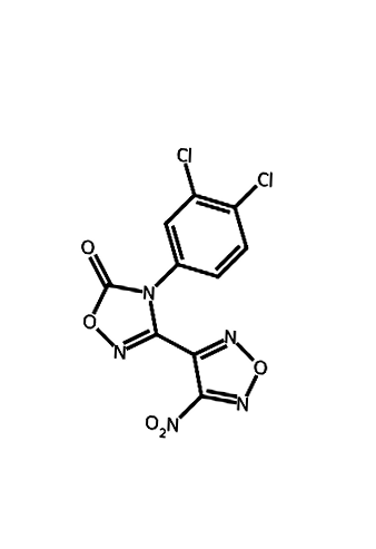 O=c1onc(-c2nonc2[N+](=O)[O-])n1-c1ccc(Cl)c(Cl)c1